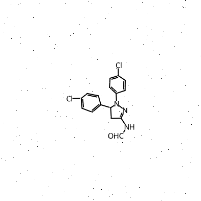 O=CNC1=NN(c2ccc(Cl)cc2)C(c2ccc(Cl)cc2)C1